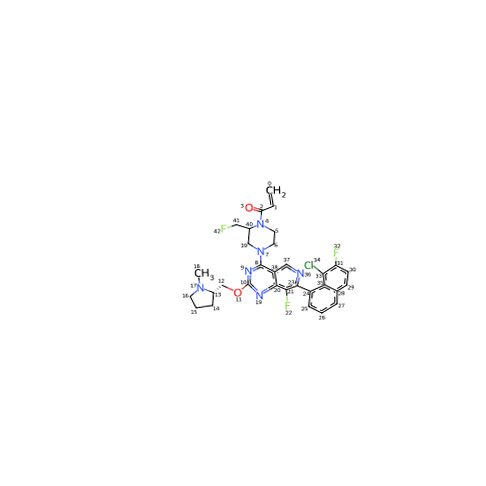 C=CC(=O)N1CCN(c2nc(OC[C@@H]3CCCN3C)nc3c(F)c(-c4cccc5ccc(F)c(Cl)c45)ncc23)CC1CF